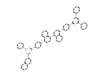 c1ccc(-c2cc(-c3ccccc3)nc(-c3ccc(-c4ccc(-c5ccc(-c6ccc(C7=NC(c8ccccc8)NC(c8ccc9ccccc9c8)=N7)cc6)c6ccccc56)c5ccccc45)cc3)n2)cc1